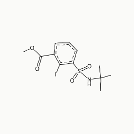 COC(=O)c1cccc(S(=O)(=O)NC(C)(C)C)c1I